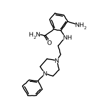 NC(=O)c1cccc(N)c1NCCN1CCN(c2ccccc2)CC1